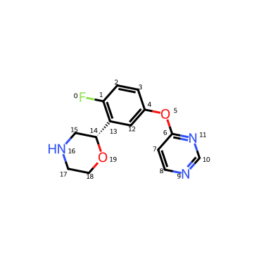 Fc1ccc(Oc2ccncn2)cc1[C@H]1CNCCO1